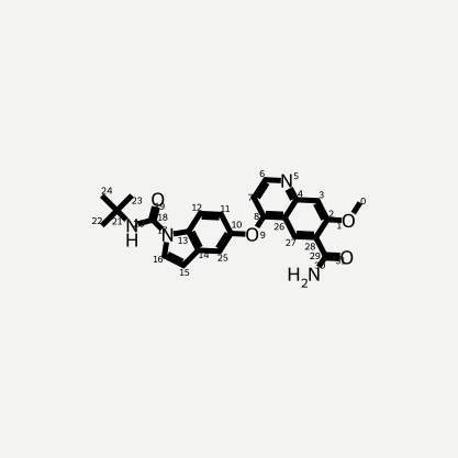 COc1cc2nccc(Oc3ccc4c(ccn4C(=O)NC(C)(C)C)c3)c2cc1C(N)=O